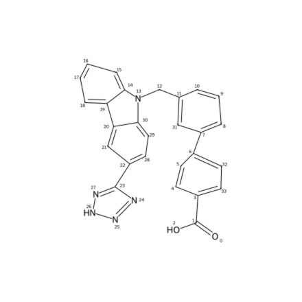 O=C(O)c1ccc(-c2cccc(Cn3c4ccccc4c4cc(-c5nn[nH]n5)ccc43)c2)cc1